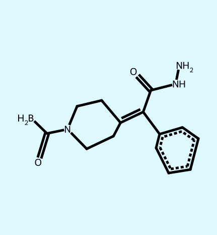 BC(=O)N1CCC(=C(C(=O)NN)c2ccccc2)CC1